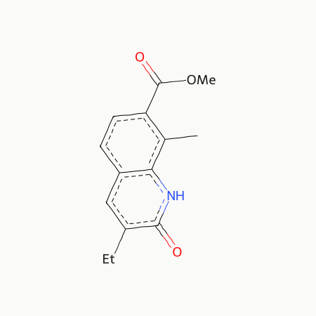 CCc1cc2ccc(C(=O)OC)c(C)c2[nH]c1=O